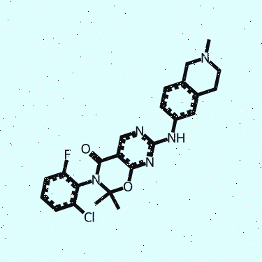 CN1CCc2cc(Nc3ncc4c(n3)OC(C)(C)N(c3c(F)cccc3Cl)C4=O)ccc2C1